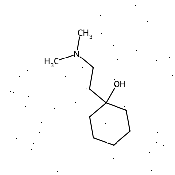 CN(C)C[CH]C1(O)CCCCC1